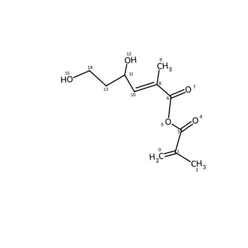 C=C(C)C(=O)OC(=O)C(C)=CC(O)CCO